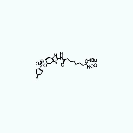 CC(C)(C)OC(CCCCCCC(=O)Nc1nc2ccc(OS(=O)(=O)c3ccc(F)cc3)cc2s1)N=C=O